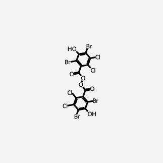 O=C(OOC(=O)c1c(Cl)c(Cl)c(Br)c(O)c1Br)c1c(Cl)c(Cl)c(Br)c(O)c1Br